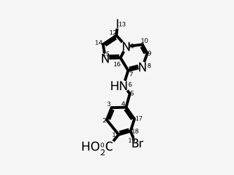 O=C(O)c1ccc(CNc2nccn3c(I)cnc23)cc1Br